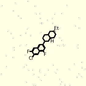 CC[C@@H]1CC[C@@H]2CC(c3cc(F)c4cc(Cl)c(F)cc4c3)CCC2C1